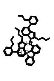 CCCCC1=Cc2c(-c3ccccc3CCC)cccc2[CH]1[Hf]([c]1cccc2c1[SiH2]c1ccccc1-2)[CH]1C(CCCC)=Cc2c(-c3ccccc3CCC)cccc21